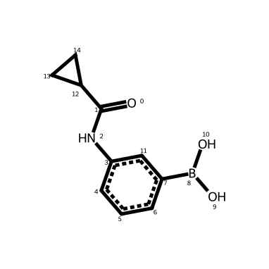 O=C(Nc1cccc(B(O)O)c1)C1CC1